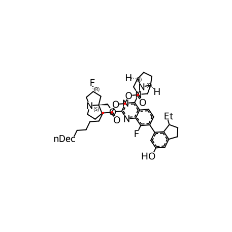 CCCCCCCCCCCCCCCC(=O)OCOC(=O)N1[C@@H]2CC[C@H]1CN(c1nc(OC[C@@]34CCCN3C[C@H](F)C4)nc3c(F)c(-c4cc(O)cc5c4C(CC)CC5)ccc13)C2